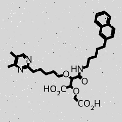 Cc1cnc(CCCCCOC(C(=O)NCCCCCc2ccc3ccccc3c2)C(OCC(=O)O)C(=O)O)nc1C